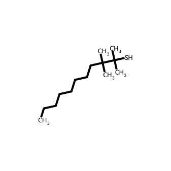 CCCCCCCCC(C)(C)C(C)(C)S